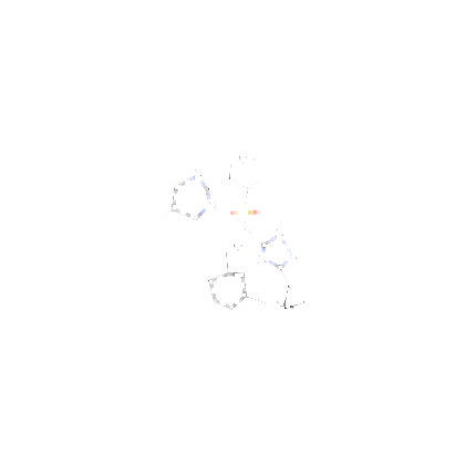 COc1cccc(OC)c1-n1c(NS(=O)(=O)C(C)C(OC)c2ncc(C)cn2)nnc1C1CC1